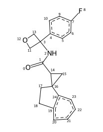 O=C(NC1(c2ccc(F)cc2)COC1)C1CC12CCc1ccccc12